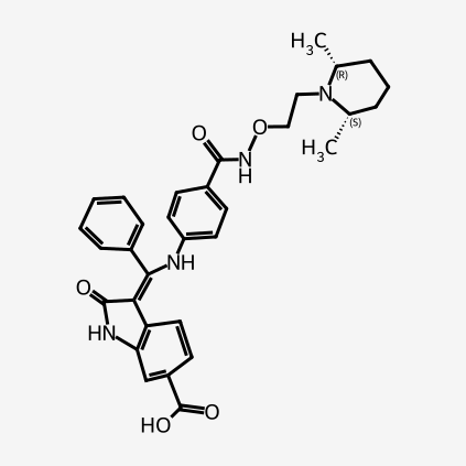 C[C@@H]1CCC[C@H](C)N1CCONC(=O)c1ccc(NC(=C2C(=O)Nc3cc(C(=O)O)ccc32)c2ccccc2)cc1